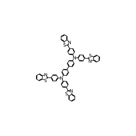 c1ccc2sc(-c3ccc(N(c4ccc(-c5ccc(N(c6ccc(-c7nc8ccccc8s7)cc6)c6ccc(-c7nc8ccccc8s7)cc6)cc5)cc4)c4ccc(-c5nc6ccccc6s5)cc4)cc3)nc2c1